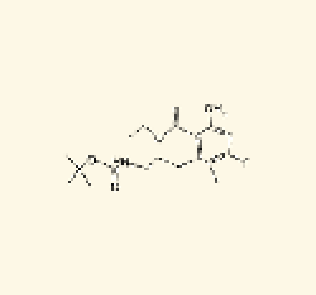 C=C(OCC)c1c(N)cc(F)c(C)c1CCCNC(=O)OC(C)(C)C